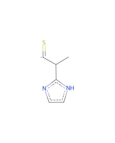 CC([C]=S)c1ncc[nH]1